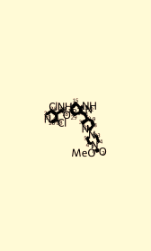 COC(=O)N1CCN(c2ccc(-c3n[nH]c4ccc(O[C@H](N)c5c(Cl)cncc5Cl)cc34)cn2)CC1